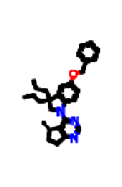 CCCC1(CCC)CN(c2ncnc3c2[C@H](C)CC3)c2ccc(OCc3ccccc3)cc21